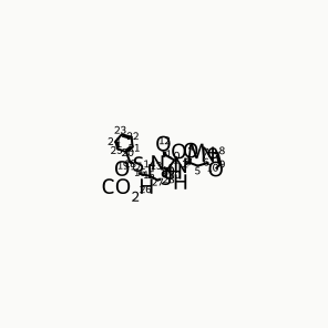 COC1(NC(=O)Cc2ncco2)C(=O)N2CC(CSC(=O)c3ccccc3)(C(=O)O)CS[C@@H]21